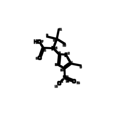 Cc1sc(N(C(=O)O)C(C)(C)C)cc1[N+](=O)[O-]